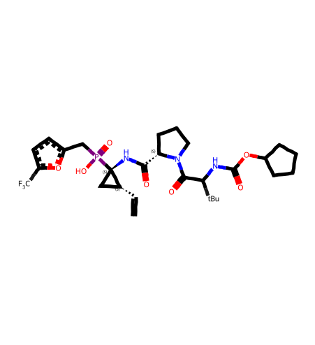 C=C[C@@H]1C[C@]1(NC(=O)[C@@H]1CCCN1C(=O)C(NC(=O)OC1CCCC1)C(C)(C)C)P(=O)(O)Cc1ccc(C(F)(F)F)o1